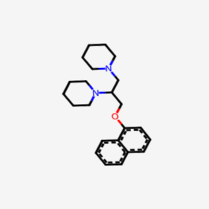 c1ccc2c(OCC(CN3CCCCC3)N3CCCCC3)cccc2c1